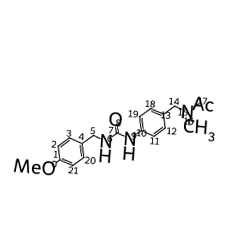 COc1ccc(CNC(=O)Nc2ccc(CN(C)C(C)=O)cc2)cc1